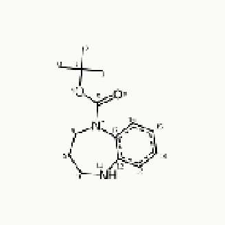 CC(C)(C)OC(=O)N1CCCNc2ccccc21